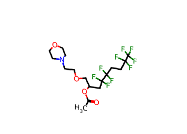 CC(=O)OC(COCCN1CCOCC1)CC(F)(F)C(F)(F)CCC(F)(F)C(F)(F)F